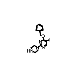 Ic1cnc(N2CCNCC2)nc1OCc1ccccc1